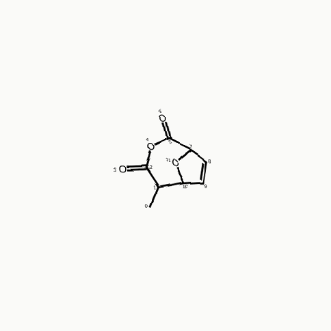 CC1C(=O)OC(=O)C2C=CC1O2